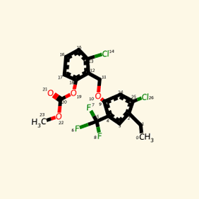 CCc1cc(C(F)(F)F)c(OCc2c(Cl)cccc2OC(=O)OC)cc1Cl